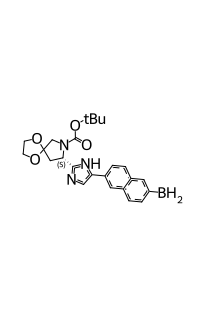 Bc1ccc2cc(-c3cnc([C@@H]4CC5(CN4C(=O)OC(C)(C)C)OCCO5)[nH]3)ccc2c1